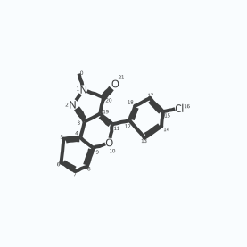 Cn1nc2c3ccccc3oc(-c3ccc(Cl)cc3)c-2c1=O